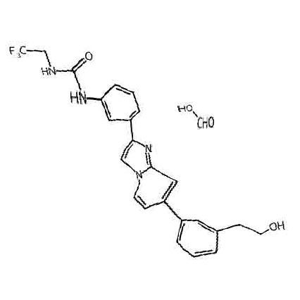 O=C(NCC(F)(F)F)Nc1cccc(-c2cn3ccc(-c4cccc(CCO)c4)cc3n2)c1.O=CO